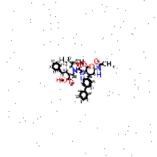 CC(=O)NCCC(c1ccc(-c2ccccc2)cc1)[C@H](NC(=O)N(CC(C)C)C[C@H](CCc1ccccc1)C(=O)O)C(=O)O